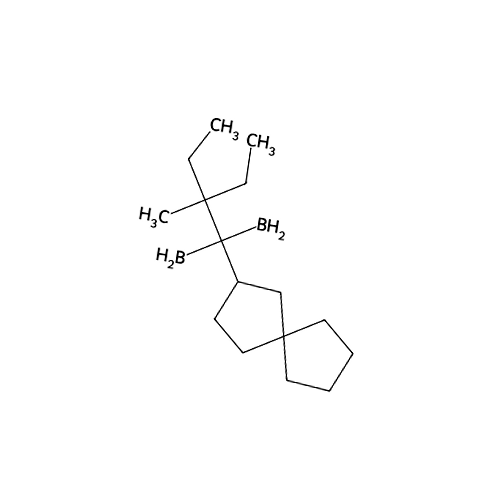 BC(B)(C1CCC2(CCCC2)C1)C(C)(CC)CC